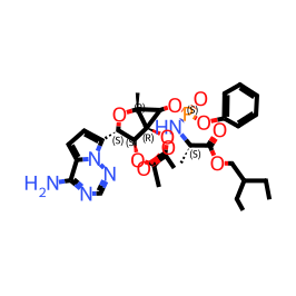 CCC(CC)COC(=O)[C@H](C)N[P@@](=O)(Oc1ccccc1)OC1[C@@]2(C)O[C@@H](c3ccc4c(N)ncnn34)[C@H](OC(C)=O)[C@@]12OC(C)=O